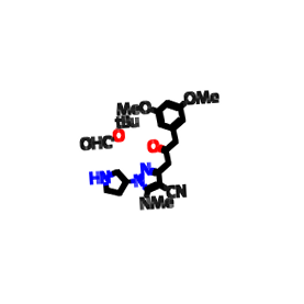 CC(C)(C)OC=O.CNc1c(C#N)c(CC(=O)Cc2cc(OC)cc(OC)c2)nn1[C@H]1CCNC1